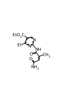 CCOC(=O)c1cnc(NC(=O)/C(C)=C\C(N)=O)nc1CC